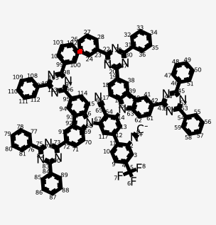 [C-]#[N+]c1cc(C(F)(F)F)ccc1-c1cc(-n2c3ccc(-c4nc(-c5ccccc5)nc(-c5ccccc5)n4)cc3c3cc(-c4nc(-c5ccccc5)nc(-c5ccccc5)n4)ccc32)c(C#N)c(-n2c3ccc(-c4nc(-c5ccccc5)nc(-c5ccccc5)n4)cc3c3cc(-c4nc(-c5ccccc5)nc(-c5ccccc5)n4)ccc32)c1